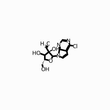 C=C[C@@]1(O)C(O)[C@@H](CO)OC1n1ccc2c(Cl)ncnc21